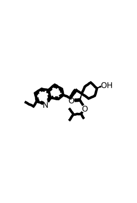 CCc1ccc2ccc(/C=C/[C@]3(C(=O)OC(C)C(C)C)CC[C@@H](O)CC3)cc2n1